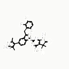 Cc1n[nH]c(C)c1-c1ccc2c(c1)c(Cc1c(F)ccc(F)c1F)nn2-c1nc(N)c2c(n1)NC(=O)C2(C)C